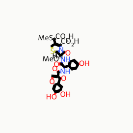 CO[C@@]1(NC(=O)C(NC(=O)c2coc3cc(O)c(O)cc3c2=O)c2ccc(O)cc2)C(=O)N2C(C(=O)O)=C(C(SC)C(=O)O)CS[C@H]21